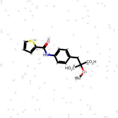 CC(C)(C)OC(Cc1ccc(NC(=O)c2cccs2)cc1)(C(=O)O)C(=O)O